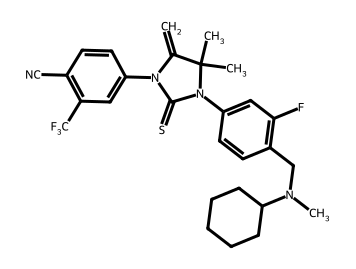 C=C1N(c2ccc(C#N)c(C(F)(F)F)c2)C(=S)N(c2ccc(CN(C)C3CCCCC3)c(F)c2)C1(C)C